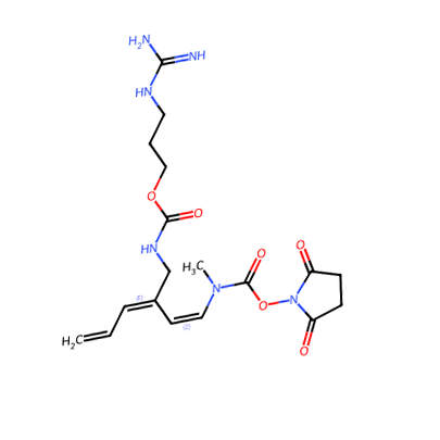 C=C/C=C(\C=C/N(C)C(=O)ON1C(=O)CCC1=O)CNC(=O)OCCCNC(=N)N